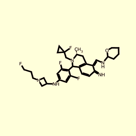 C[C@@H]1CC2=C(C=CC(=N)/C2=C\NC2CCCCO2)C(c2c(F)cc(NC3CN(CCCF)C3)cc2F)N1CC1(F)CC1